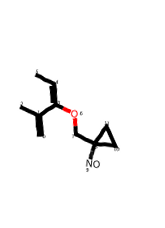 C=C(C)/C(=C\C)OCC1(N=O)CC1